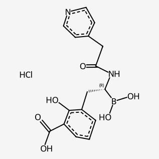 Cl.O=C(Cc1ccncc1)N[C@@H](Cc1cccc(C(=O)O)c1O)B(O)O